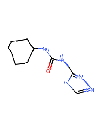 O=C(Nc1nnc[nH]1)NC1CCCCC1